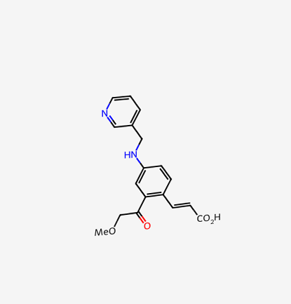 COCC(=O)c1cc(NCc2cccnc2)ccc1C=CC(=O)O